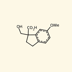 COc1ccc2c(c1)C(CO)(C(=O)O)CC2